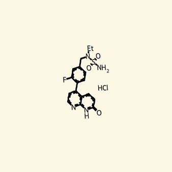 CCN(Cc1ccc(-c2ccnc3[nH]c(=O)ccc23)c(F)c1)S(N)(=O)=O.Cl